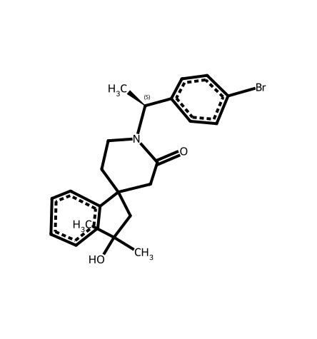 C[C@@H](c1ccc(Br)cc1)N1CCC(CC(C)(C)O)(c2ccccc2)CC1=O